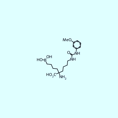 COc1cccc(NC(=O)NCCCCC(N)(CCCCB(O)O)C(=O)O)c1